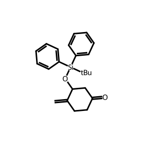 C=C1CCC(=O)CC1O[Si](c1ccccc1)(c1ccccc1)C(C)(C)C